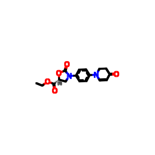 CCOC(=O)[C@H]1CN(c2ccc(N3C=CC(=O)CC3)cc2)C(=O)O1